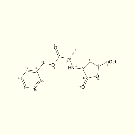 CCCCCCCCC1CC(N[C@@H](C)C(=O)OCc2ccccc2)C(=O)O1